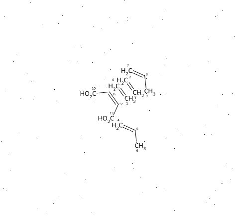 C=C.C=C.C=CC.C=CC.O=C(O)/C=C\C(=O)O